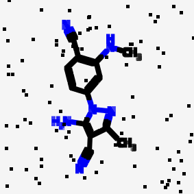 CNc1cc(-n2nc(C)c(C#N)c2N)ccc1C#N